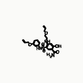 C=CCOCCNc1cc(O)c(C(N)=O)cc1S(=O)(=O)Nc1cccc(OCC=C)c1